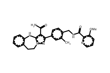 COc1cccnc1C(=O)NCc1ccc(-c2nn3c(c2C(N)=O)Nc2ccccc2CC3)cc1C